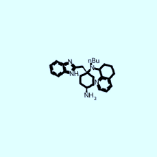 CCCCN(C1CCCc2cccnc21)[C@]1(Cc2nc3ccccc3[nH]2)CC[C@@H](N)CC1